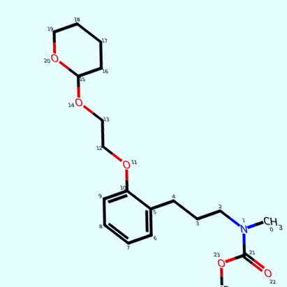 CN(CCCc1ccccc1OCCOC1CCCCO1)C(=O)OC(C)(C)C